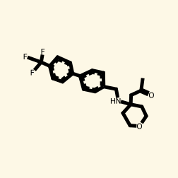 CC(=O)CC1(NCc2ccc(-c3ccc(C(F)(F)F)cc3)cc2)CCOCC1